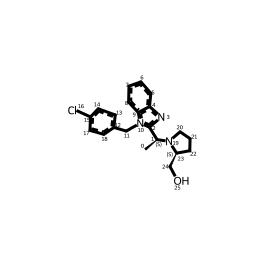 C[C@@H](c1nc2ccccc2n1Cc1ccc(Cl)cc1)N1CCC[C@H]1CO